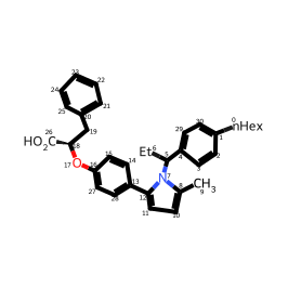 CCCCCCc1ccc(C(CC)n2c(C)ccc2-c2ccc(O[C@H](Cc3ccccc3)C(=O)O)cc2)cc1